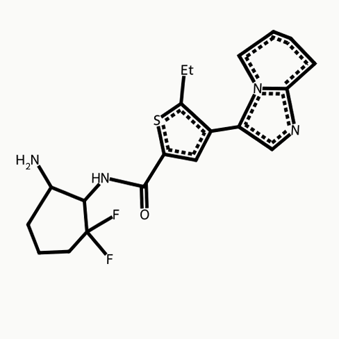 CCc1sc(C(=O)NC2C(N)CCCC2(F)F)cc1-c1cnc2ccccn12